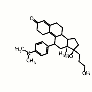 CN(C)c1ccc(C2C[C@]3(C)C(CC[C@]3(O)CCCO)C3CCC4=CC(=O)CCC4=C23)cc1